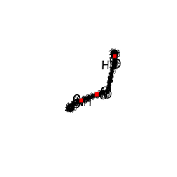 O=C(CCCCCCCCCCCNC(=O)OCc1ccccc1)OC(=O)CCCCCCCCCCCNC(=O)OCc1ccccc1